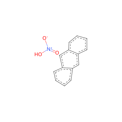 O=[N+]([O-])O.c1ccc2cc3ccccc3cc2c1